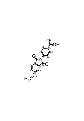 COc1ccc2c(c1)C(=O)N(c1ccc(C(=O)O)cc1)C2=O